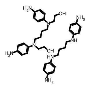 Nc1ccc(N(CCO)CCCCN(CCO)c2ccc(N)cc2)cc1.Nc1ccc(NCCCCNc2ccc(N)cc2)cc1